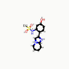 CCS(=O)(=O)Nc1cc(O)ccc1-c1cn2ccccc2n1